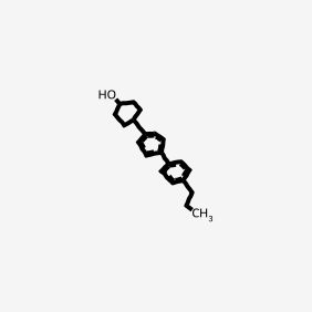 CCCc1ccc(-c2ccc(C3CCC(O)CC3)cc2)cc1